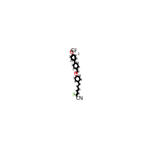 N#CC(F)=CC=CCCC1CCC(OCC2CCC(c3ccc(OC(F)(F)F)cc3)CC2)CC1